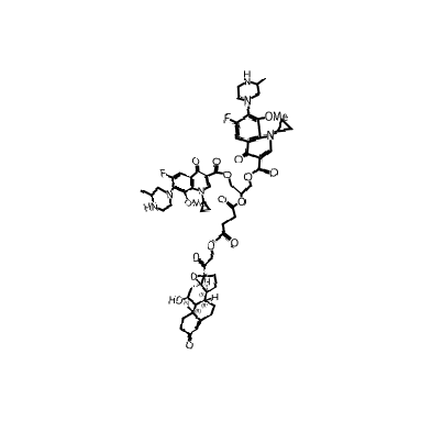 COc1c(N2CCNC(C)C2)c(F)cc2c(=O)c(C(=O)OCC(COC(=O)c3cn(C4CC4)c4c(OC)c(N5CCNC(C)C5)c(F)cc4c3=O)OC(=O)CCC(=O)OCC(=O)[C@@]34CC[C@H]5[C@@H]6CCC7=CC(=O)CC[C@]7(C)C6[C@@H](O)C[C@@]53O4)cn(C3CC3)c12